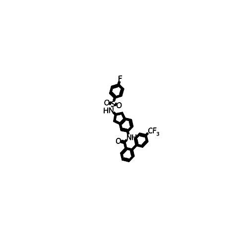 O=C(Nc1ccc2c(c1)CC(NS(=O)(=O)c1ccc(F)cc1)C2)c1ccccc1-c1ccc(C(F)(F)F)cc1